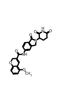 COc1cccc2c1C=C(C(=O)Nc1ccc3c(c1)CN(C1CCC(=O)NC1=O)C3=O)CO2